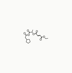 CCOC(=O)/C=C/C(=O)OC(C)C(=O)OC(=O)CC1CCCC1